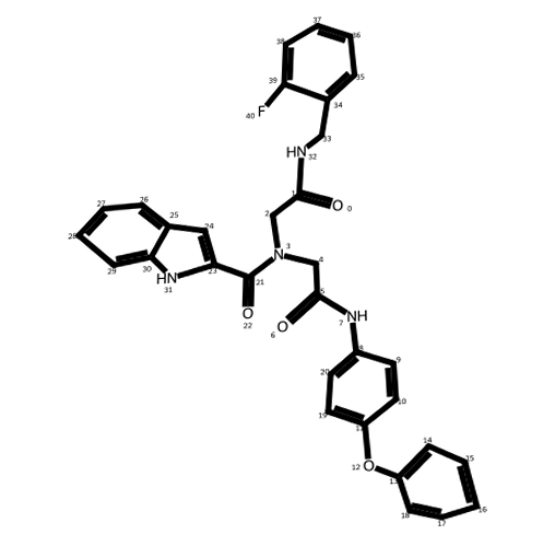 O=C(CN(CC(=O)Nc1ccc(Oc2ccccc2)cc1)C(=O)c1cc2ccccc2[nH]1)NCc1ccccc1F